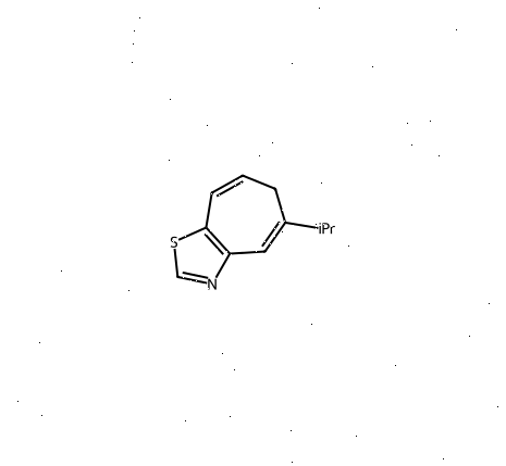 CC(C)C1=Cc2ncsc2C=CC1